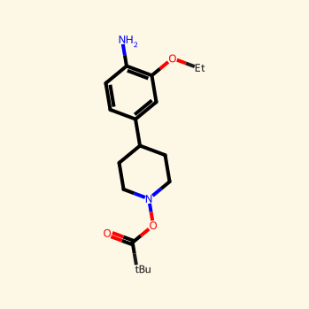 CCOc1cc(C2CCN(OC(=O)C(C)(C)C)CC2)ccc1N